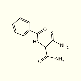 NC(=O)C(NC(=O)c1ccccc1)C(N)=S